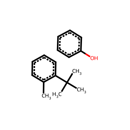 Cc1ccccc1C(C)(C)C.Oc1ccccc1